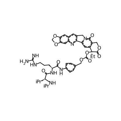 CC[C@@]1(OC(=O)OCc2ccc(NC(=O)[C@H](CCCNC(=N)N)NC(=O)[C@@H](NC(C)C)C(C)C)cc2)C(=O)OCc2c1cc1n(c2=O)Cc2cc3cc4c(cc3nc2-1)OCO4